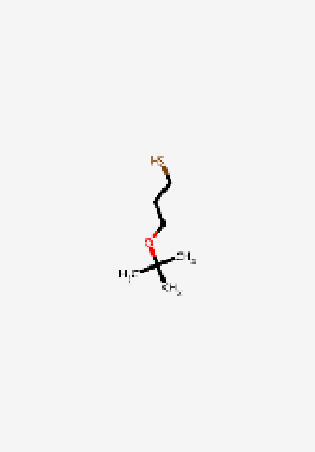 CC(C)(C)OCCCS